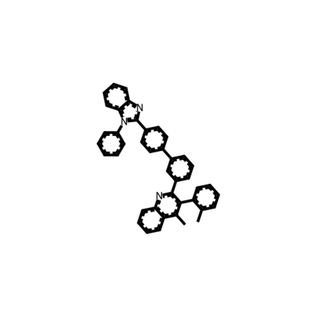 Cc1ccccc1-c1c(-c2cccc(-c3ccc(-c4nc5ccccc5n4-c4ccccc4)cc3)c2)nc2ccccc2c1C